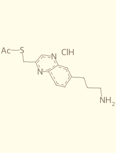 CC(=O)SCc1cnc2cc(CCCN)ccc2n1.Cl